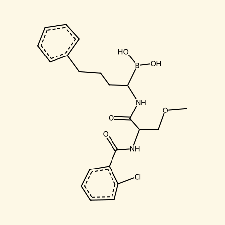 COCC(NC(=O)c1ccccc1Cl)C(=O)NC(CCCc1ccccc1)B(O)O